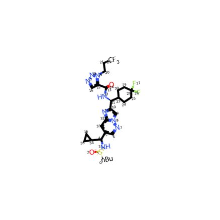 CCCC[S@+]([O-])NC(c1cnn2cc([C@@H](NC(=O)c3cnnn3CCC(F)(F)F)C3CCC(F)(F)CC3)nc2c1)C1CC1